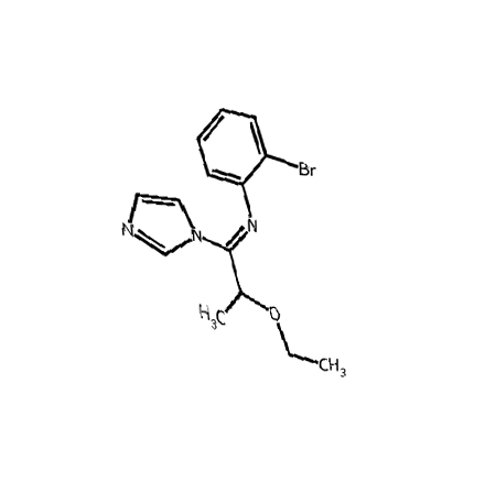 CCOC(C)C(=Nc1ccccc1Br)n1ccnc1